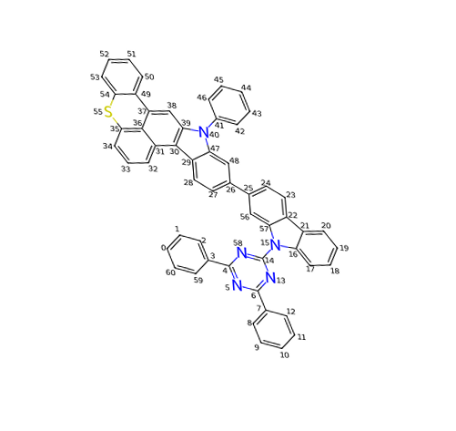 c1ccc(-c2nc(-c3ccccc3)nc(-n3c4ccccc4c4ccc(-c5ccc6c7c8cccc9c8c(cc7n(-c7ccccc7)c6c5)-c5ccccc5S9)cc43)n2)cc1